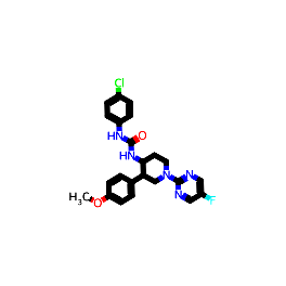 COc1ccc(C2CN(c3ncc(F)cn3)CCC2NC(=O)Nc2ccc(Cl)cc2)cc1